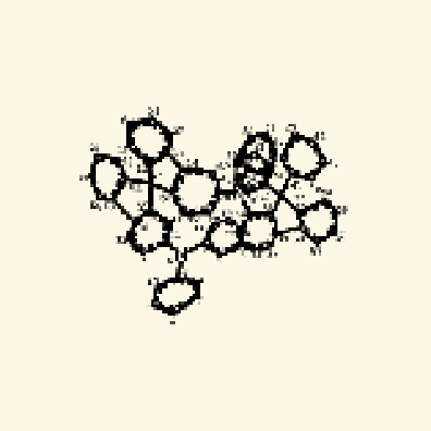 c1ccc(N(c2ccccc2)c2ccc3c(c2)C2(c4ccccc4-c4cc(N(c5ccccc5)c5cccc6c5C(c5ccccc5)(c5ccccc5)c5ccccc5-6)ccc42)c2ccccc2-3)cc1